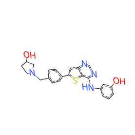 Oc1cccc(Nc2ncnc3cc(-c4ccc(CN5CCC(O)C5)cc4)sc23)c1